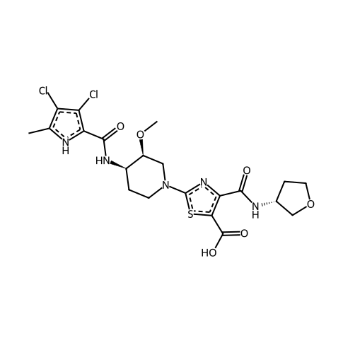 CO[C@H]1CN(c2nc(C(=O)N[C@@H]3CCOC3)c(C(=O)O)s2)CC[C@H]1NC(=O)c1[nH]c(C)c(Cl)c1Cl